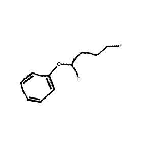 FCCCC(F)Oc1cc[c]cc1